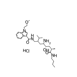 CCCCNC(=O)[C@H](C)C[C@H](O)C(N)CC(CNC(=O)c1cn(CCOC)c2ccccc12)C(C)C.Cl